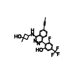 CC#Cc1ccc2c(-c3c(O)cc(C(F)(F)F)cc3F)nnc(NC3CC(C)(O)C3)c2c1